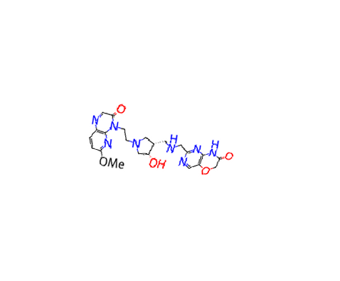 COc1ccc2ncc(=O)n(CCN3C[C@H](CNCc4ncc5c(n4)NC(=O)CO5)[C@H](O)C3)c2n1